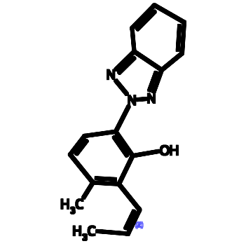 C/C=C\c1c(C)ccc(-n2nc3ccccc3n2)c1O